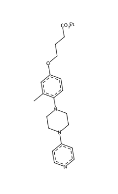 CCOC(=O)CCCOc1ccc(N2CCN(c3ccncc3)CC2)c(C)c1